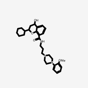 COc1ccccc1N1CCN(CCCNC(=O)c2cccc3c2OC(C2CCCCC2)CC3O)CC1